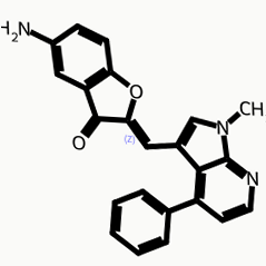 Cn1cc(/C=C2\Oc3ccc(N)cc3C2=O)c2c(-c3ccccc3)ccnc21